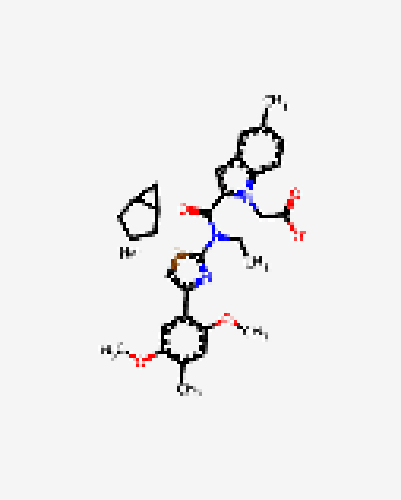 C1CC2CC2C1.CCN(C(=O)c1cc2cc(C)ccc2n1CC(=O)[O-])c1nc(-c2cc(OC)c(C)cc2OC)cs1.[Na+]